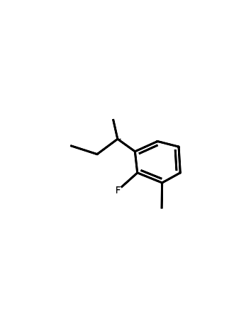 CC[C](C)c1cccc(C)c1F